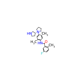 Cc1cc([N+]2([C@@H]3CCNC3)CCC[C@@H]2C)ccc1NC(=O)c1cc(F)ccc1C